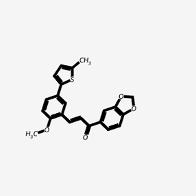 COc1ccc(-c2ccc(C)s2)cc1C=CC(=O)c1ccc2c(c1)OCO2